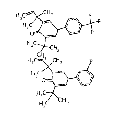 C=CC(C)(C)C1=CC(c2ccc(C(F)(F)F)cc2)C=C(C(C)(C)C)C1=O.C=CC(C)(C)C1=CC(c2cccc(F)c2)C=C(C(C)(C)C)C1=O